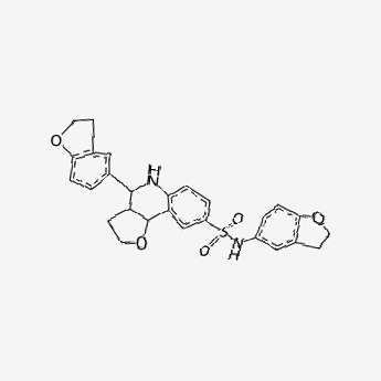 O=S(=O)(Nc1ccc2c(c1)CCO2)c1ccc2c(c1)C1OCCC1C(c1ccc3c(c1)CCO3)N2